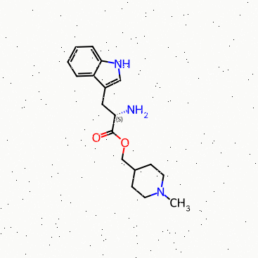 CN1CCC(COC(=O)[C@@H](N)Cc2c[nH]c3ccccc23)CC1